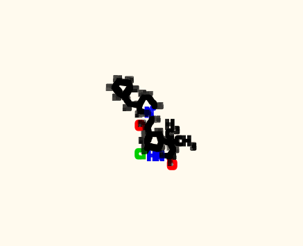 CC1(C)CC(=O)Nc2c(Cl)cc(C(=O)CN3CCCC(Cc4ccccc4)C3)cc21